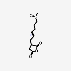 C[Si](=O)CCC/C=C/CC1CC(=O)OC1=O